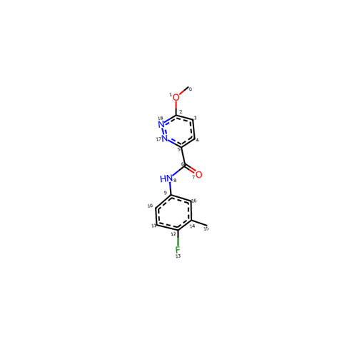 COc1ccc(C(=O)Nc2ccc(F)c(C)c2)nn1